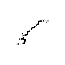 CN(CCOCCOCCC(=O)O)C(=O)/C=C\C=O